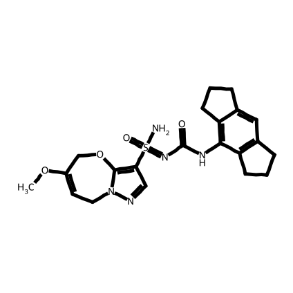 COC1=CCn2ncc(S(N)(=O)=NC(=O)Nc3c4c(cc5c3CCC5)CCC4)c2OC1